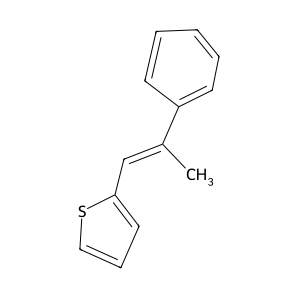 C/C(=C\c1cccs1)c1ccccc1